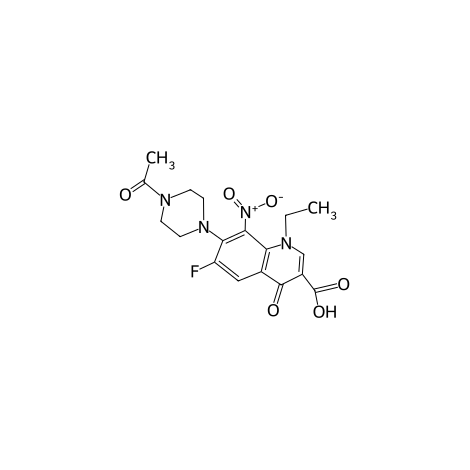 CCn1cc(C(=O)O)c(=O)c2cc(F)c(N3CCN(C(C)=O)CC3)c([N+](=O)[O-])c21